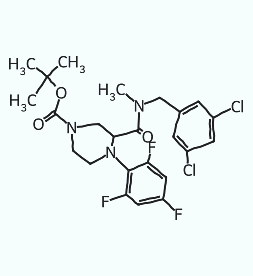 CN(Cc1cc(Cl)cc(Cl)c1)C(=O)C1CN(C(=O)OC(C)(C)C)CCN1c1c(F)cc(F)cc1F